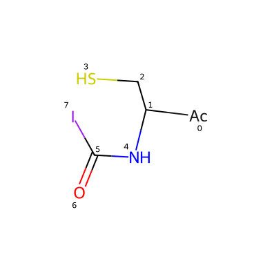 CC(=O)C(CS)NC(=O)I